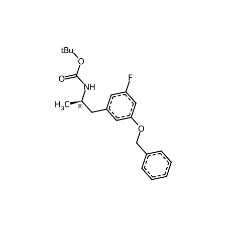 C[C@H](Cc1cc(F)cc(OCc2ccccc2)c1)NC(=O)OC(C)(C)C